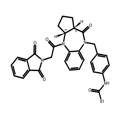 CCC(=O)Nc1ccc(CN2C(=O)[C@H]3CCC[C@H]3N(C(=O)CN3C(=O)c4ccccc4C3=O)c3ccccc32)cc1